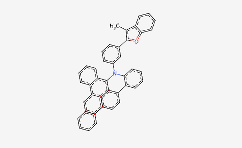 Cc1c(-c2cccc(N(c3ccccc3-c3ccc(-c4ccccc4)cc3)c3cc4ccccc4c4ccccc34)c2)oc2ccccc12